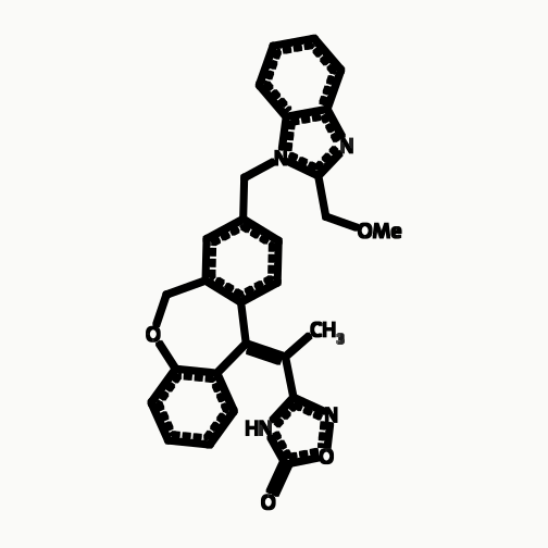 COCc1nc2ccccc2n1Cc1ccc2c(c1)COc1ccccc1/C2=C(/C)c1noc(=O)[nH]1